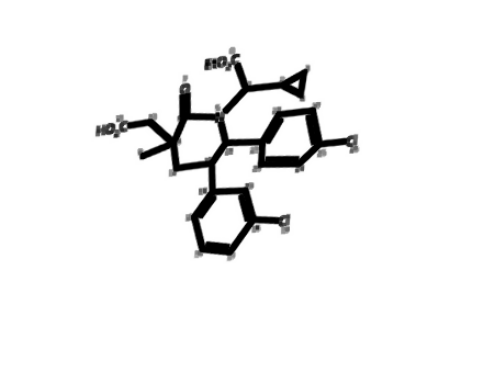 CCOC(=O)C(C1CC1)N1C(=O)C(C)(CC(=O)O)CC(c2cccc(Cl)c2)C1c1ccc(Cl)cc1